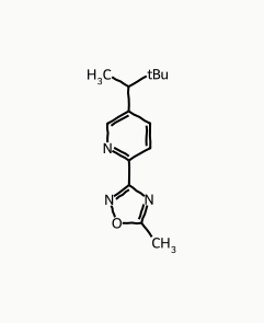 Cc1nc(-c2ccc(C(C)C(C)(C)C)cn2)no1